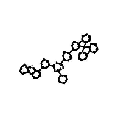 c1ccc(-c2nc(-c3ccc(-c4ccc5c(c4)C4(c6ccccc6-c6ccccc64)c4ccccc4-5)cc3)nc(-c3cccc(-c4cccc5c4sc4ccccc45)c3)n2)cc1